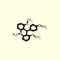 COc1ccc(C2c3c(OC)cccc3N(C)c3cccc(OC)c32)cc1